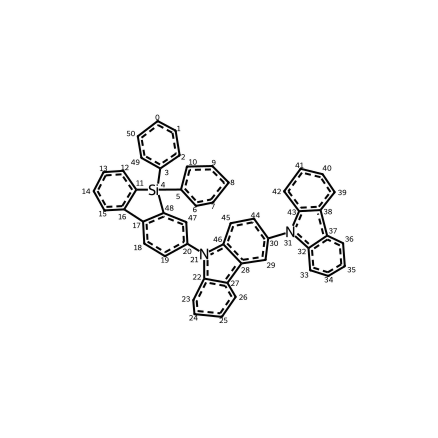 c1ccc([Si]2(c3ccccc3)c3ccccc3-c3ccc(-n4c5ccccc5c5cc(-n6c7ccccc7c7ccccc76)ccc54)cc32)cc1